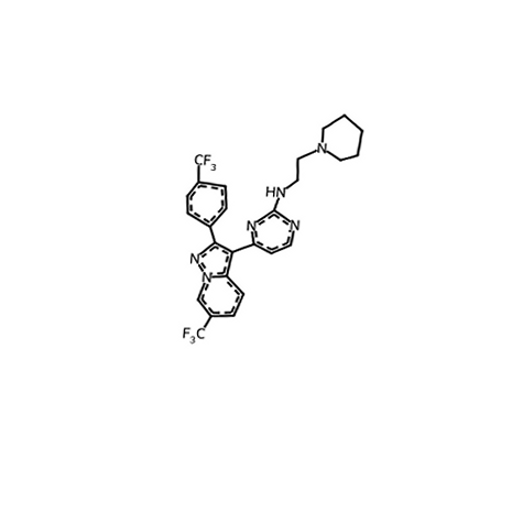 FC(F)(F)c1ccc(-c2nn3cc(C(F)(F)F)ccc3c2-c2ccnc(NCCN3CCCCC3)n2)cc1